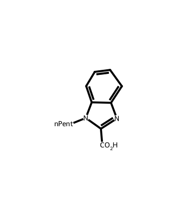 CCCCCn1c(C(=O)O)nc2ccccc21